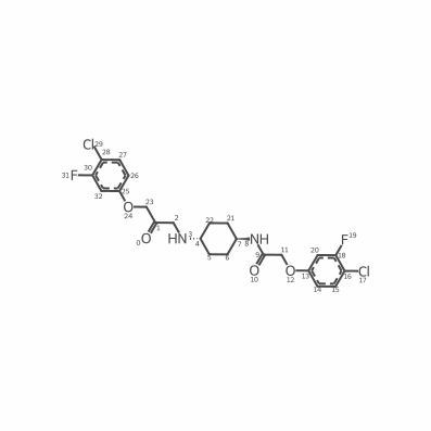 O=C(CN[C@H]1CC[C@H](NC(=O)COc2ccc(Cl)c(F)c2)CC1)COc1ccc(Cl)c(F)c1